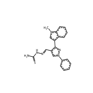 Cn1cc(-c2nn(-c3ccccc3)cc2/C=N/NC(N)=S)c2ccccc21